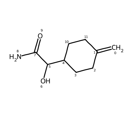 C=C1CCC(C(O)C(N)=O)CC1